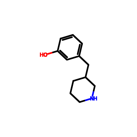 Oc1cccc(CC2CCCNC2)c1